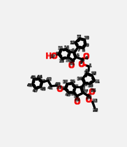 CCOC(=O)C1=C(c2ccccc2)c2ccc(O)cc2C1=O.CCOC(=O)C1=C(c2ccccc2)c2ccc(OCCCc3ccccc3)cc2C1=O